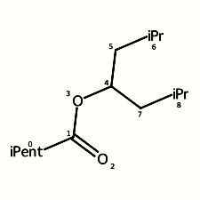 CCCC(C)C(=O)OC(CC(C)C)CC(C)C